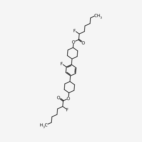 CCCCCC(F)C(=O)OC1CCC(c2ccc(C3CCC(OC(=O)C(F)CCCCC)CC3)c(F)c2)CC1